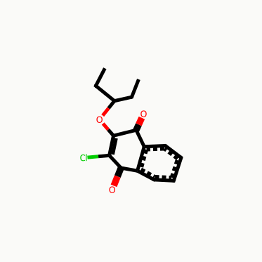 CCC(CC)OC1=C(Cl)C(=O)c2ccccc2C1=O